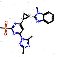 Cc1nc(C)n(-c2cc([C@H]3C[C@@H]3c3nc4ccccc4n3C)nc(S(C)(=O)=O)n2)n1